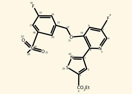 CCOC(=O)c1cc(-c2ncc(F)cc2OCc2cc(F)cc(S(C)(=O)=O)c2)ns1